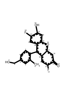 Cc1cc(CO)ccc1-c1c2cc(F)c(=O)cc-2oc2cc(O)c(F)cc12